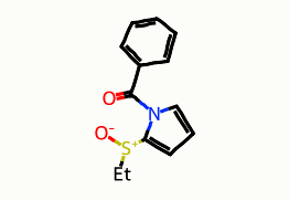 CC[S+]([O-])c1cccn1C(=O)c1ccccc1